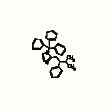 CC(C)C(Cc1nccn1C(c1ccccc1)(c1ccccc1)c1ccccc1)c1ccccc1